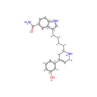 NC(=O)c1ccc2[nH]cc(CCCCC3CC(c4cccc(O)c4)=CCN3)c2c1